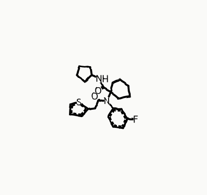 O=C(Cc1cccs1)N(c1cccc(F)c1)C1(C(=O)NC2CCCC2)CCCCC1